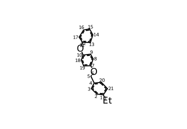 CCc1ccc(COc2ccc(Oc3ccccc3)cc2)cc1